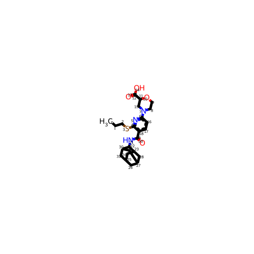 CCCSc1nc(N2CCOC(C(=O)O)C2)ccc1C(=O)NC1C2CC3CC(C2)CC1C3